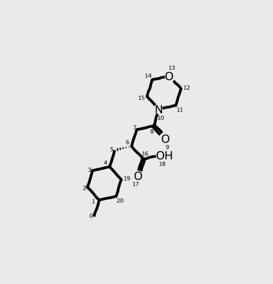 CC1CCC(C[C@H](CC(=O)N2CCOCC2)C(=O)O)CC1